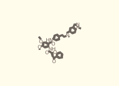 CCOc1cc(C(=O)Nc2ccc(CCN(C)Cc3ccc4c(cnn4C)c3)cc2)c(NC(=O)c2cc(=O)c3ccccc3o2)cc1OC